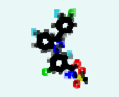 CS(=O)(=O)NC(=O)c1cc(Cl)cc(-n2nc(-c3ccc(Cl)c(F)c3)c3cc(F)ccc32)c1F